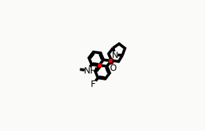 CNc1cccc(C(=O)N2C3CCC2CC(c2ccc(F)cc2)C3)c1